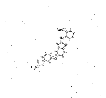 COc1ccccc1Nc1nc2cc(Oc3ccnc(CC(N)=O)c3)ccc2[nH]1